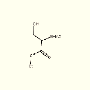 CCOC(=O)C(CO)NC(C)=O